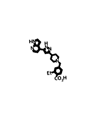 CCc1cc(CN2CCC(c3cc(-c4ccnc5[nH]ccc45)[nH]n3)CC2)ccc1C(=O)O